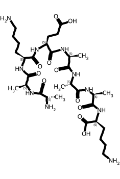 C[C@H](N)C(=O)N[C@@H](C)C(=O)N[C@@H](CCCCN)C(=O)N[C@@H](CCC(=O)O)C(=O)N[C@@H](C)C(=O)N[C@@H](C)C(=O)N[C@@H](C)C(=O)N[C@@H](CCCCN)C(=O)O